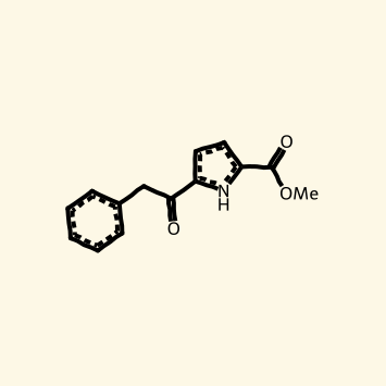 COC(=O)c1ccc(C(=O)Cc2ccccc2)[nH]1